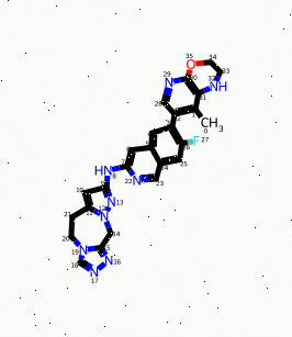 Cc1c(-c2cc3cc(Nc4cc5n(n4)Cc4nncn4CC5)ncc3cc2F)cnc2c1NCCO2